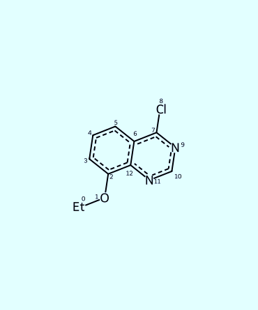 CCOc1cccc2c(Cl)ncnc12